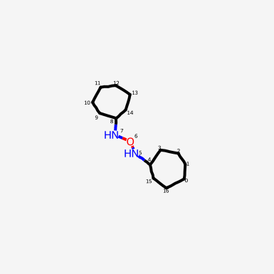 C1CCCC(NONC2CCCCCC2)CC1